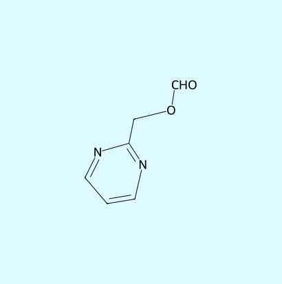 O=COCc1ncccn1